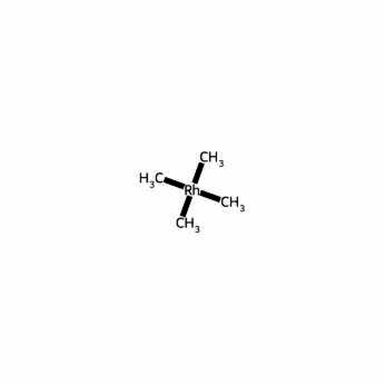 [CH3][Rh]([CH3])([CH3])[CH3]